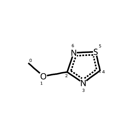 COc1n[c]sn1